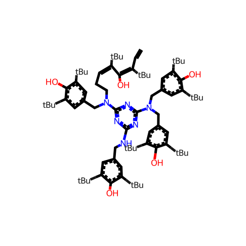 C=C/C(=C(O)\C(=C/CCN(Cc1cc(C(C)(C)C)c(O)c(C(C)(C)C)c1)c1nc(NCc2cc(C(C)(C)C)c(O)c(C(C)(C)C)c2)nc(N(Cc2cc(C(C)(C)C)c(O)c(C(C)(C)C)c2)Cc2cc(C(C)(C)C)c(O)c(C(C)(C)C)c2)n1)C(C)(C)C)C(C)(C)C